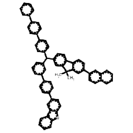 CC1(C)c2cc(-c3ccc4ccccc4c3)ccc2-c2ccc(C(c3ccc(-c4ccc(-c5ccccc5)cc4)cc3)c3cccc(-c4ccc(-c5ccc6oc7ccccc7c6c5)cc4)c3)cc21